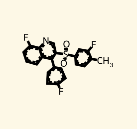 Cc1ccc(S(=O)(=O)c2cnc3c(F)cccc3c2-c2ccc(F)cc2)cc1F